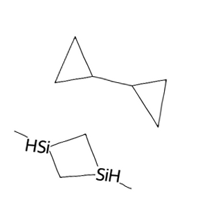 C1CC1C1CC1.C[SiH]1C[SiH](C)C1